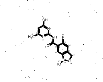 Cc1cc(O)nc(NC(=O)c2cc3c(cc2F)COB3O)n1